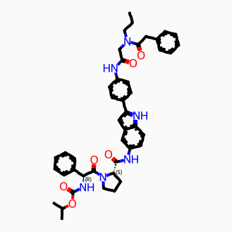 CCCN(CC(=O)Nc1ccc(-c2cc3cc(NC(=O)[C@@H]4CCCN4C(=O)[C@H](NC(=O)OC(C)C)c4ccccc4)ccc3[nH]2)cc1)C(=O)Cc1ccccc1